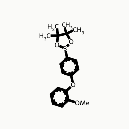 COc1ccccc1Oc1ccc(B2OC(C)(C)C(C)(C)O2)cc1